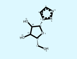 OC[C@H]1O[C@@H](n2ccnn2)C(O)C1O